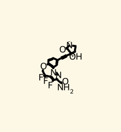 CN1CC[C@@](O)(C#Cc2ccc3c(c2)-n2nc(C(N)=O)c(F)c2C(F)(F)CO3)C1=O